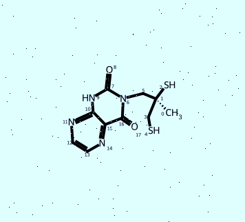 C[C@](S)(CS)Cn1c(=O)[nH]c2nccnc2c1=O